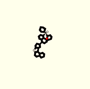 O=P(c1ccccc1)(c1ccccc1)c1cccc2c(-c3ccc4oc5ccc6ccccc6c5c4c3)cccc12